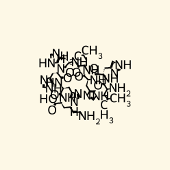 CC(C)C[C@H](NC(=O)[C@H](Cc1c[nH]cn1)NC(=O)[C@H](Cc1c[nH]cn1)NC(=O)[C@@H](N)CC(C)C)C(=O)N[C@@H](Cc1c[nH]cn1)C(=O)N[C@@H](Cc1c[nH]cn1)C(=O)N[C@@H](Cc1c[nH]cn1)C(=O)N[C@@H](CCCCN)C(=O)O